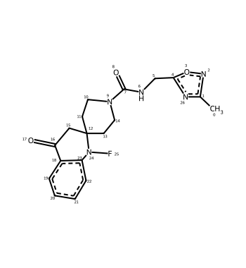 Cc1noc(CNC(=O)N2CCC3(CC2)CC(=O)c2ccccc2N3F)n1